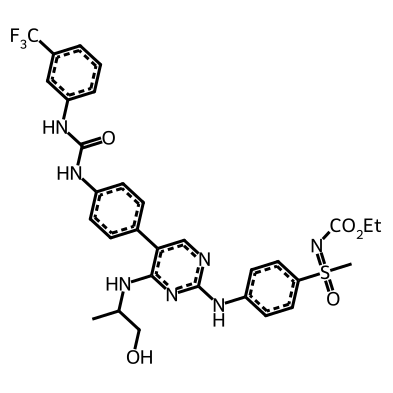 CCOC(=O)N=S(C)(=O)c1ccc(Nc2ncc(-c3ccc(NC(=O)Nc4cccc(C(F)(F)F)c4)cc3)c(NC(C)CO)n2)cc1